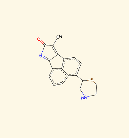 N#CC1=C2C(=NC1=O)c1cccc3c(C4CNCCS4)ccc2c13